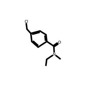 CCN(C)C(=O)c1ccc(CCl)cc1